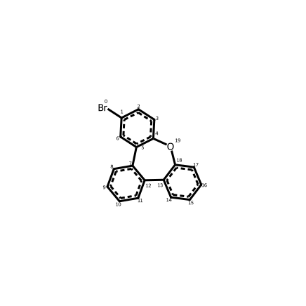 Brc1ccc2c(c1)-c1ccccc1-c1ccccc1O2